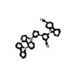 N#Cc1cc(-c2cccc(-n3c4ccccc4c4c(-n5c6ccccc6c6ccccc65)cccc43)c2)cc(-n2c3ccccc3c3ccc(C#N)cc32)c1